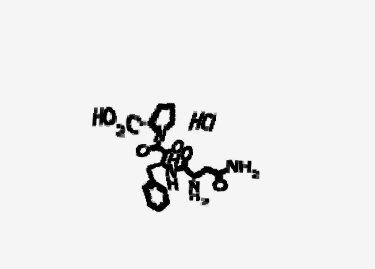 Cl.NC(=O)C[C@H](N)C(=O)N[C@@H](Cc1ccccc1)C(O)C(=O)N1CCC[C@H]1C(=O)O